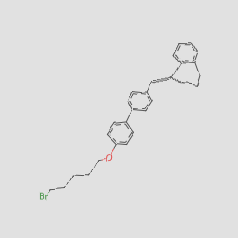 BrCCCCCOc1ccc(-c2ccc(C=C3CCCc4ccccc43)cc2)cc1